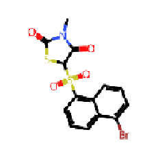 CN1C(=O)SC(S(=O)(=O)c2cccc3c(Br)cccc23)C1=O